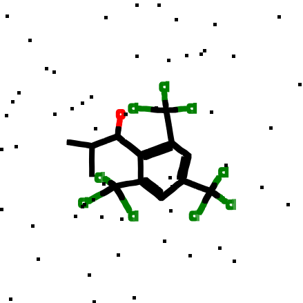 CC(C)C([O])c1c(C(Cl)(Cl)Cl)cc(C(Cl)(Cl)Cl)cc1C(Cl)(Cl)Cl